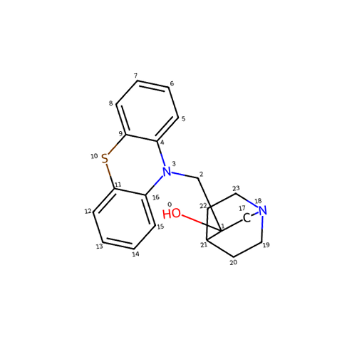 OC1(CN2c3ccccc3Sc3ccccc32)CN2CCC1CC2